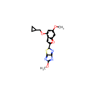 COC1=NC2=NC(c3cc4c(OCC5CC5)cc(OC)cc4o3)SC2=N1